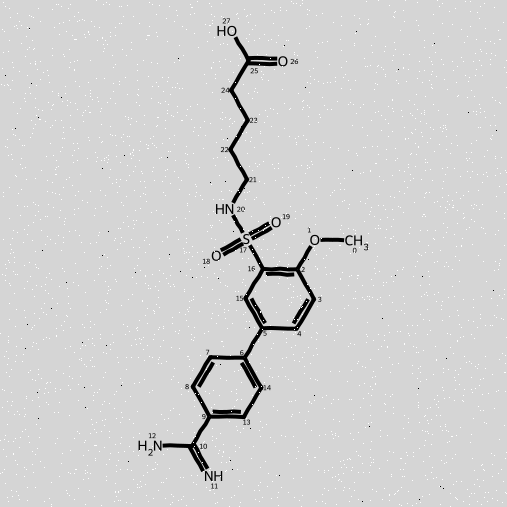 COc1ccc(-c2ccc(C(=N)N)cc2)cc1S(=O)(=O)NCCCCC(=O)O